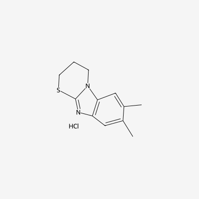 Cc1cc2nc3n(c2cc1C)CCCS3.Cl